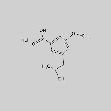 COc1cc(CC(C)C)nc(C(=O)O)c1.Cl